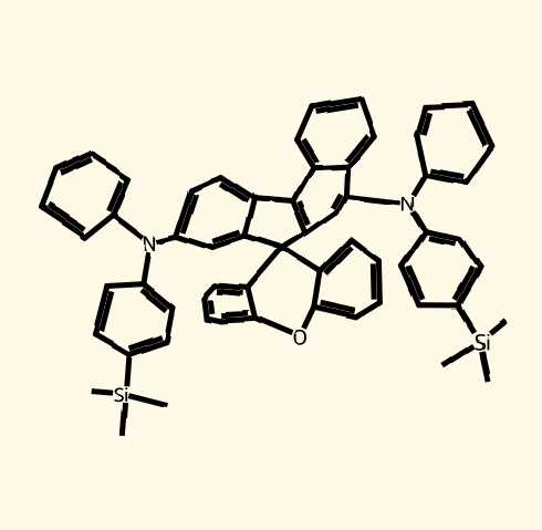 C[Si](C)(C)c1ccc(N(c2ccccc2)c2ccc3c(c2)C2(c4ccccc4Oc4ccccc42)c2cc(N(c4ccccc4)c4ccc([Si](C)(C)C)cc4)c4ccccc4c2-3)cc1